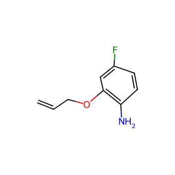 C=CCOc1cc(F)ccc1N